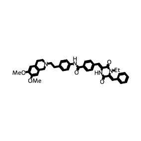 CCn1c(=O)/c(=C/c2ccc(C(=O)Nc3ccc(CCN4CCc5cc(OC)c(OC)cc5C4)cc3)cc2)[nH]c(=O)/c1=C/c1ccccc1